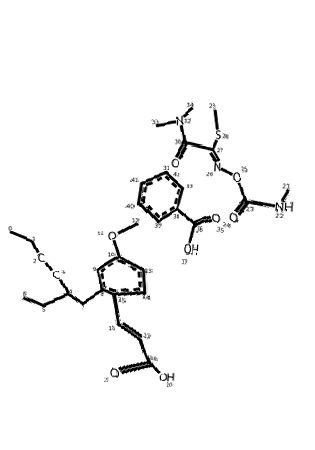 CCCCC(CC)Cc1cc(OC)ccc1C=CC(=O)O.CNC(=O)ON=C(SC)C(=O)N(C)C.O=C(O)c1ccccc1